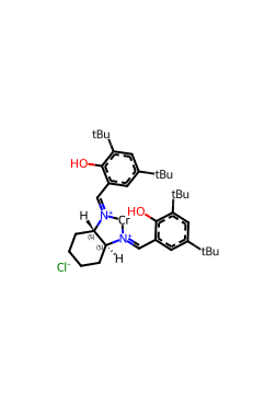 CC(C)(C)c1cc(C=[N+]2[Cr][N+](=Cc3cc(C(C)(C)C)cc(C(C)(C)C)c3O)[C@H]3CCCC[C@@H]32)c(O)c(C(C)(C)C)c1.[Cl-]